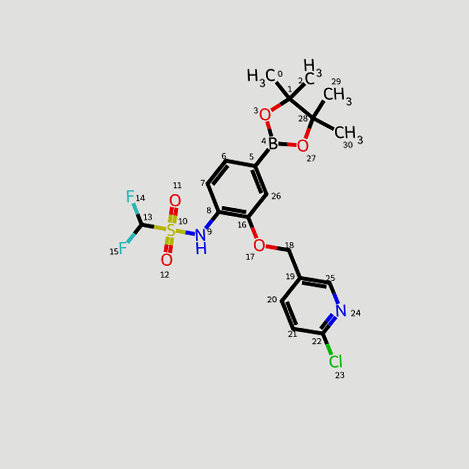 CC1(C)OB(c2ccc(NS(=O)(=O)C(F)F)c(OCc3ccc(Cl)nc3)c2)OC1(C)C